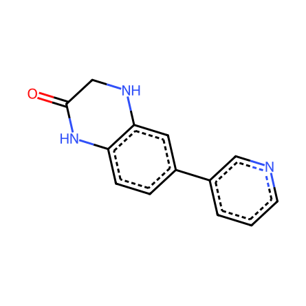 O=C1CNc2cc(-c3cccnc3)ccc2N1